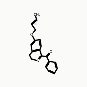 C/C=C/COc1ccc2c(c1)CCN=C2C(=O)c1ccccc1